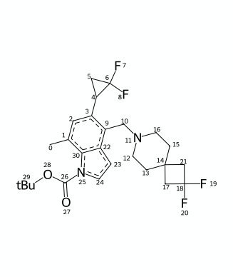 Cc1cc(C2CC2(F)F)c(CN2CCC3(CC2)CC(F)(F)C3)c2ccn(C(=O)OC(C)(C)C)c12